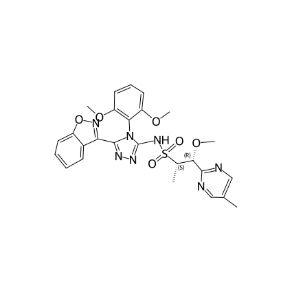 COc1cccc(OC)c1-n1c(NS(=O)(=O)[C@@H](C)[C@H](OC)c2ncc(C)cn2)nnc1-c1noc2ccccc12